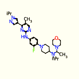 CCCN(C1CCN(c2ccc(Nc3ncc(C)c(-c4cnn(C(C)C)c4)n3)cc2F)CC1)C(C)N1CCOCC1